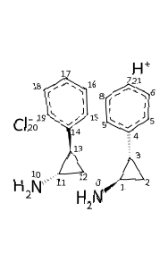 N[C@@H]1C[C@H]1c1ccccc1.N[C@H]1C[C@@H]1c1ccccc1.[Cl-].[H+]